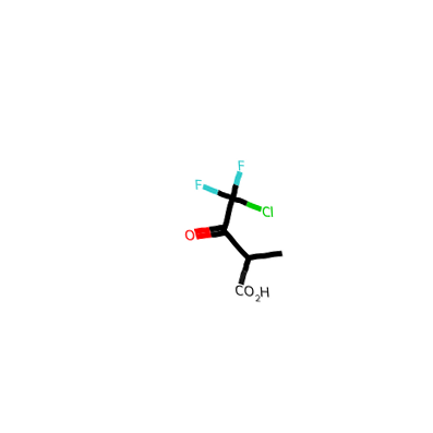 CC(C(=O)O)C(=O)C(F)(F)Cl